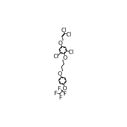 FC(F)C(F)(F)Oc1ccc(OCCCCOc2c(Cl)cc(OCC=C(Cl)Cl)cc2Cl)cc1